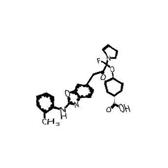 Cc1ccccc1Nc1nc2ccc(CC(=O)C(F)(O[C@H]3CC[C@H](C(=O)O)CC3)N3CCCC3)cc2o1